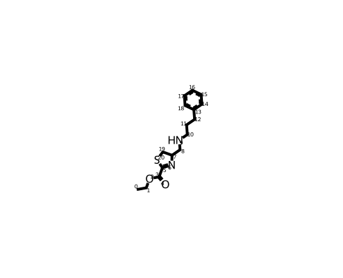 CCOC(=O)C1=NC(CNCCCc2ccccc2)CS1